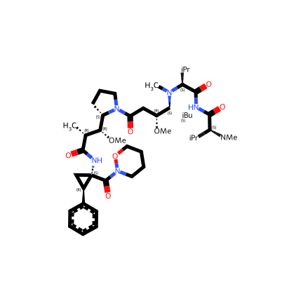 CC[C@H](C)[C@@H]([C@@H](CC(=O)N1CCC[C@H]1[C@H](OC)[C@@H](C)C(=O)N[C@@]1(C(=O)N2CCCCO2)C[C@@H]1c1ccccc1)OC)N(C)[C@H](C(=O)NC(=O)[C@@H](NC)C(C)C)C(C)C